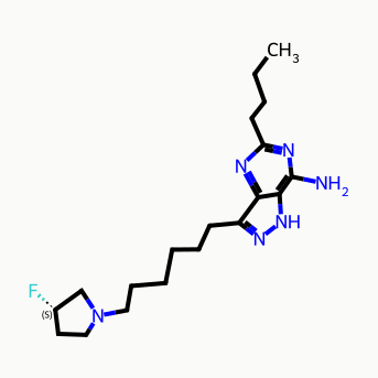 CCCCc1nc(N)c2[nH]nc(CCCCCCN3CC[C@H](F)C3)c2n1